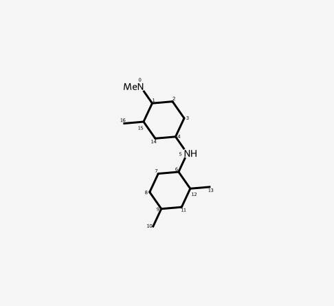 CNC1CCC(NC2CCC(C)CC2C)CC1C